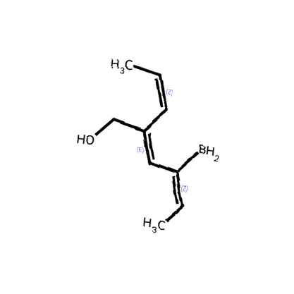 BC(=C/C)/C=C(\C=C/C)CO